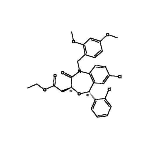 CCOC(=O)C[C@@H]1O[C@@H](c2ccccc2Cl)c2cc(Cl)ccc2N(Cc2ccc(OC)cc2OC)C1=O